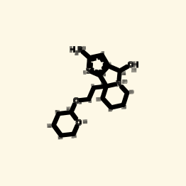 Bc1cc2c(s1)C1(CCOC3CCCCO3)CCCCN1C2O